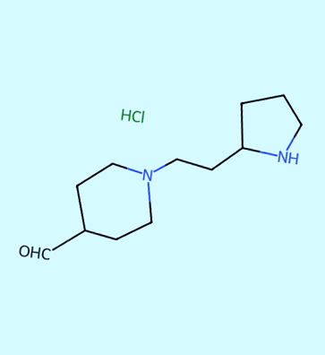 Cl.O=CC1CCN(CCC2CCCN2)CC1